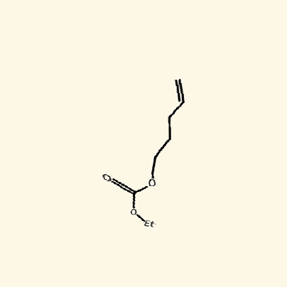 C=CCCCOC(=O)O[CH]C